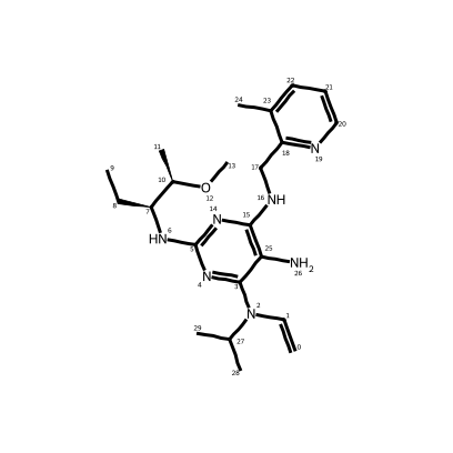 C=CN(c1nc(N[C@@H](CC)[C@@H](C)OC)nc(NCc2ncccc2C)c1N)C(C)C